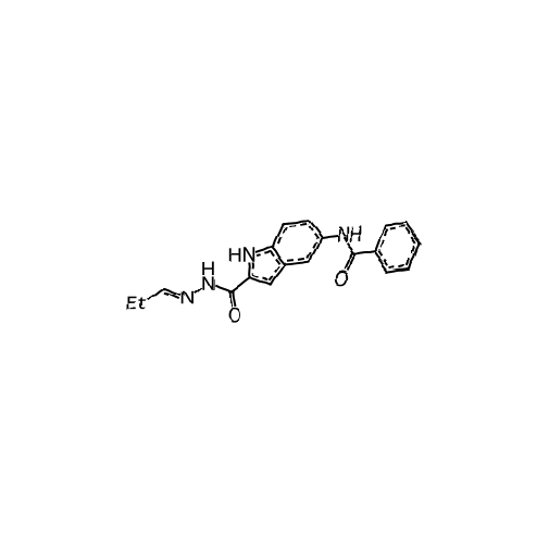 CC/C=N/NC(=O)c1cc2cc(NC(=O)c3ccccc3)ccc2[nH]1